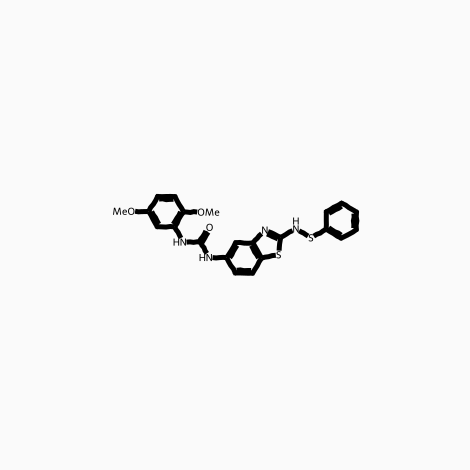 COc1ccc(OC)c(NC(=O)Nc2ccc3sc(NSc4ccccc4)nc3c2)c1